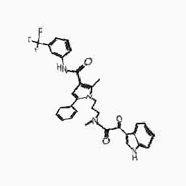 Cc1c(C(=O)Nc2cccc(C(F)(F)F)c2)cc(-c2ccccc2)n1CCCN(C)C(=O)C(=O)c1c[nH]c2ccccc12